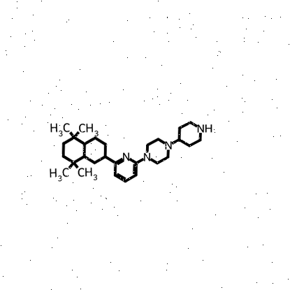 CC1(C)CCC(C)(C)C2CC(c3cccc(N4CCN(C5CCNCC5)CC4)n3)CCC21